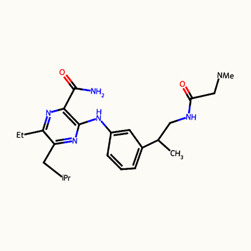 CCc1nc(C(N)=O)c(Nc2cccc(C(C)CNC(=O)CNC)c2)nc1CC(C)C